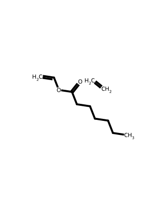 C=C.C=COC(=O)CCCCCC